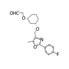 Cc1oc(-c2ccc(F)cc2)nc1CO[C@H]1CCC[C@@H](OCC=O)C1